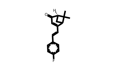 CC1(C)C2C[C@H]1C(=O)C=C2C=Cc1ccc(F)cc1